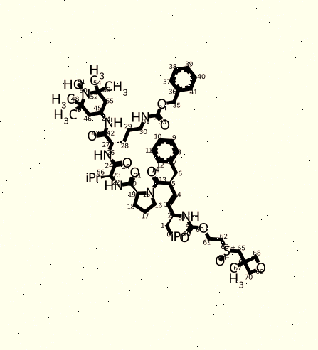 CC(C)C[C@@H](/C=C/[C@H](Cc1ccccc1)C(=O)N1CCC[C@H]1C(=O)N[C@H](C(=O)N[C@@H](CCCNC(=O)OCc1ccccc1)C(=O)NC1CC(C)(C)N(O)C(C)(C)C1)C(C)C)NC(=O)OCC[S+]([O-])CC1(C)COC1